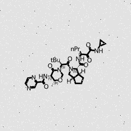 CCC[C@H](NC(=O)[C@@H]1[C@H]2CCC[C@H]2CN1C(=O)[C@@H](N1CO[C@H](C)[C@H](NC(=O)c2cnccn2)C1=O)C(C)(C)C)C(=O)C(=O)NC1CC1